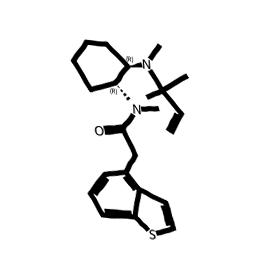 C=CC(C)(C)N(C)[C@@H]1CCCC[C@H]1N(C)C(=O)Cc1cccc2sccc12